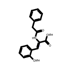 COC(=O)/C(=C/c1ccccc1OC)NC(=O)Cc1ccccc1